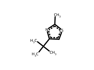 Cc1nc(C(C)(C)C)cs1